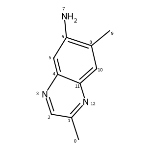 Cc1cnc2cc(N)c(C)cc2n1